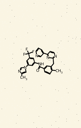 Cc1cn(-c2cc(NC(=O)c3ccc(C)c(Cc4nccc(-c5cccnc5)n4)c3)cc(C(F)(F)F)c2)cn1